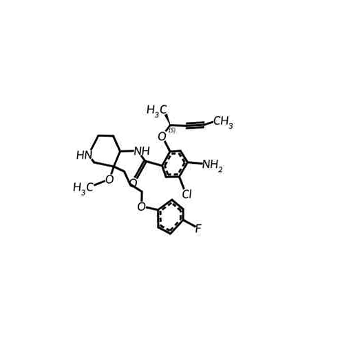 CC#C[C@H](C)Oc1cc(N)c(Cl)cc1C(=O)NC1CCNCC1(CCCOc1ccc(F)cc1)OC